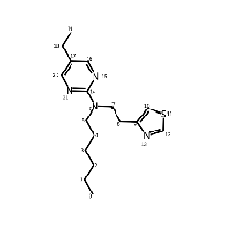 CCCCCCN(CCc1cs[c]n1)c1ncc(CC)cn1